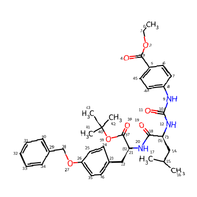 CCOC(=O)c1ccc(NC(=O)N[C@@H](CC(C)C)C(=O)N[C@@H](Cc2ccc(OCc3ccccc3)cc2)C(=O)OC(C)(C)C)cc1